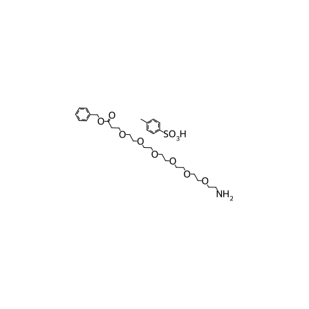 Cc1ccc(S(=O)(=O)O)cc1.NCCOCCOCCOCCOCCOCCOCCC(=O)OCc1ccccc1